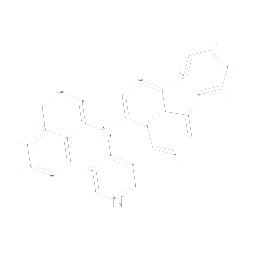 C1=C(N(c2ccncc2)c2ccc3c4c(cccc24)-c2ccccc2-3)c2ccccc2CC1